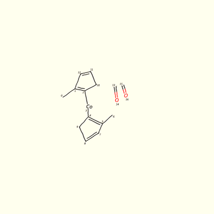 CC1=[C]([Co][C]2=C(C)C=CC2)CC=C1.[C]=O.[C]=O